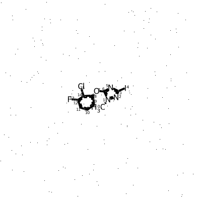 Cn1nc(I)nc1Oc1cccc(F)c1Cl